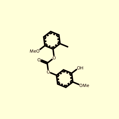 COc1ccc(OC(=O)Oc2c(C)cccc2OC)cc1O